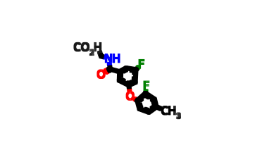 Cc1ccc(Oc2cc(F)cc(C(=O)NCC(=O)O)c2)c(F)c1